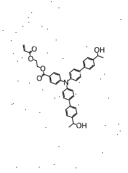 C=CC(=O)OCCOC(=O)c1ccc(N(c2ccc(-c3ccc(C(C)O)cc3)cc2)c2ccc(-c3ccc(C(C)O)cc3)cc2)cc1